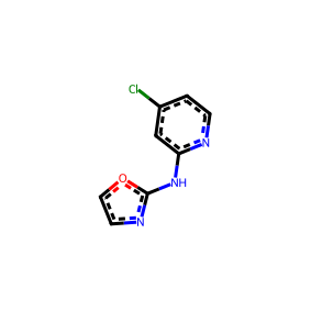 Clc1ccnc(Nc2ncco2)c1